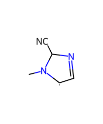 CN1[CH]C=NC1C#N